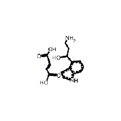 NCCC(O)c1cccc2[nH]ccc12.O=C(O)/C=C/C(=O)O